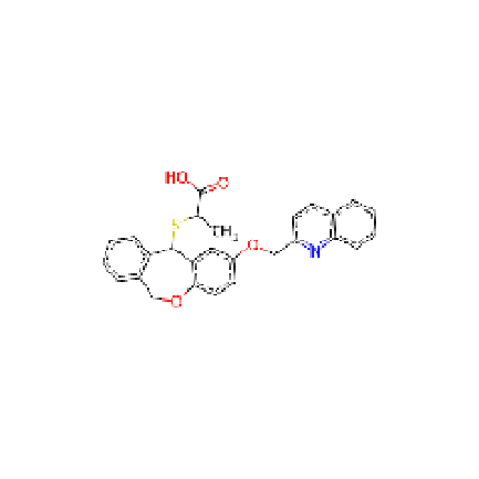 CC(SC1c2ccccc2COc2ccc(OCc3ccc4ccccc4n3)cc21)C(=O)O